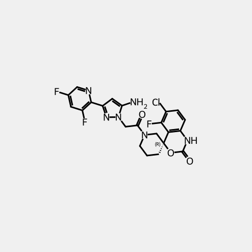 Nc1cc(-c2ncc(F)cc2F)nn1CC(=O)N1CCC[C@@]2(C1)OC(=O)Nc1ccc(Cl)c(F)c12